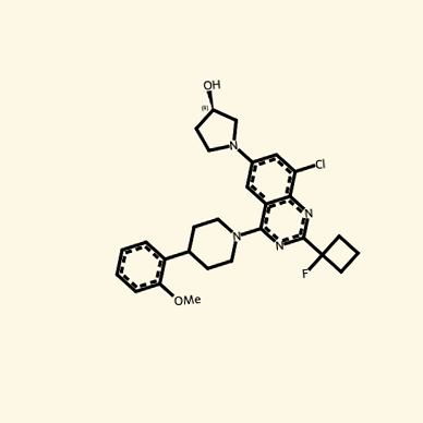 COc1ccccc1C1CCN(c2nc(C3(F)CCC3)nc3c(Cl)cc(N4CC[C@@H](O)C4)cc23)CC1